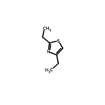 [CH2]Cc1csc(CC)n1